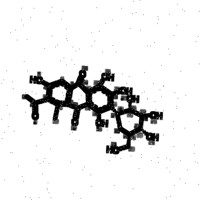 CC(=O)c1c(O)cc2c(c1C)C(=O)c1c(O)c([C@H]3C[C@H](CO)[C@@H](O)[C@H](O)[C@H]3O)c(O)c(O)c1C2=O